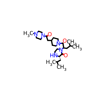 CC(C)CC(C(=O)N1CCC(CC(=O)N2CCN(C)CC2)CC1)N1CCN[C@@H](CC(C)C)C1=O